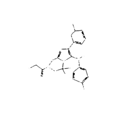 CC1(C)CN(C(=O)CN)Cc2nc(C3=CC=CC(F)C3)c(N(N)c3ccc(F)cc3)n21